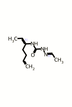 C=CCC/C(=C\C)NC(=O)N/N=C/C